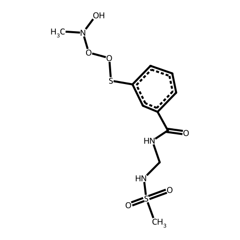 CN(O)OOSc1cccc(C(=O)NCNS(C)(=O)=O)c1